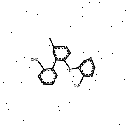 Cc1ccc(Nc2cnccc2[N+](=O)[O-])c(-c2ccccc2C=O)c1